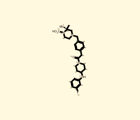 CC(C)(C)[C@@]1(C)CN(Cc2ccc(CC(=O)N3CCC(Nc4cccc(F)c4)CC3)cc2)CCN1C(=O)O